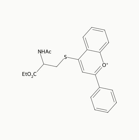 CCOC(=O)C(CSc1cc(-c2ccccc2)[o+]c2ccccc12)NC(C)=O